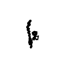 C=CC(Cl)c1ccccc1.C=Cc1cc[n+](CCCCCCCCCCCC)cc1